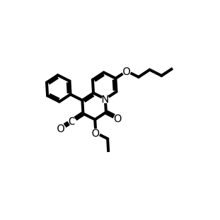 CCCCOC1=CN2C(=O)C(OCC)C(=C=O)C(c3ccccc3)=C2C=C1